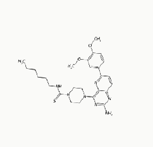 CCCCCCNC(=S)N1CCN(c2nc(N)nc3ccc(-c4ccc(OC)c(OC)c4)nc23)CC1